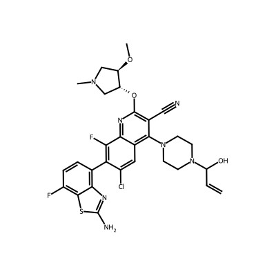 C=CC(O)N1CCN(c2c(C#N)c(O[C@@H]3CN(C)C[C@H]3OC)nc3c(F)c(-c4ccc(F)c5sc(N)nc45)c(Cl)cc23)CC1